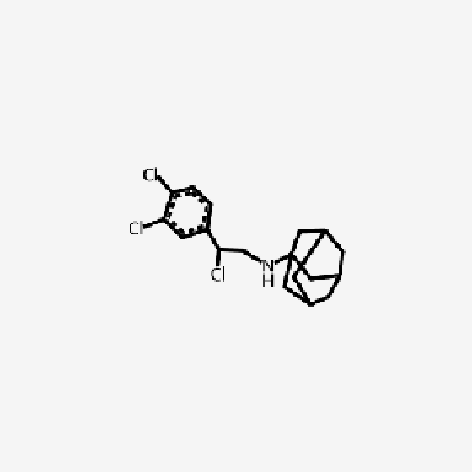 Clc1ccc(C(Cl)CNC23CC4CC(CC(C4)C2)C3)cc1Cl